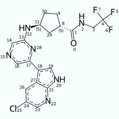 O=C(NCC(F)(F)F)[C@H]1CC[C@H](Nc2cncc(-c3c[nH]c4ncc(Cl)cc34)n2)C1